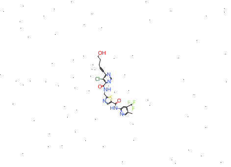 Cc1cnc(NC(=O)c2cnc(CNC(=O)c3ncnc(C#CCCCO)c3Cl)s2)cc1C(F)(F)F